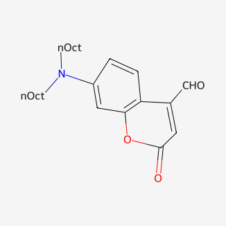 CCCCCCCCN(CCCCCCCC)c1ccc2c(C=O)cc(=O)oc2c1